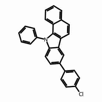 Clc1ccc(-c2ccc3c(c2)c2ccc4ccccc4c2n3-c2ccccc2)cc1